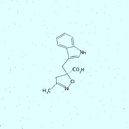 CC1=NO[C@@](Cc2c[nH]c3ccccc23)(C(=O)O)C1